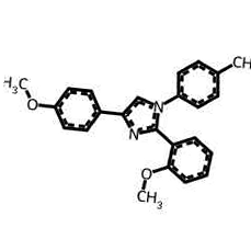 COc1ccc(-c2cn(-c3ccc(C)cc3)c(-c3ccccc3OC)n2)cc1